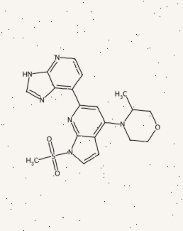 CC1COCCN1c1cc(-c2ccnc3[nH]cnc23)nc2c1ccn2S(C)(=O)=O